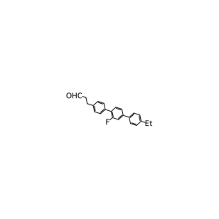 CCc1ccc(-c2ccc(-c3ccc(CCC=O)cc3)c(F)c2)cc1